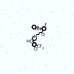 O=C(CCCN1CCC(O)(c2ccc(Cl)c(C(F)(F)F)c2)CC1)c1ccc(F)cc1NCc1ccccc1